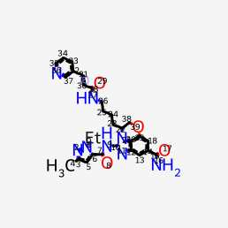 CCn1nc(C)cc1C(=O)Nc1nc2cc(C(N)=O)cc3c2n1C(CCCCNC(=O)/C=C/c1cccnc1)CO3